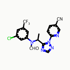 CC(c1ncnn1-c1ccc(C#N)cn1)N(C=O)c1cc(Cl)cc(C(F)(F)F)c1